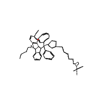 CCCCN1c2ccc(C)cc2C2C1c1ccccc1C2C(c1ccccc1)(c1ccccc1)C1CCC(CCCCCCOC(C)(C)C)C1